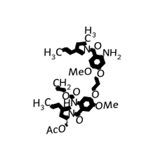 C=CCOC(=O)Nc1cc(OCCCOc2cc(N)c(C(=O)N3C=C(C=CC)C[C@@H]3C)cc2OC)c(OC)cc1C(=O)N1C=C(C=CC)C[C@H]1COC(C)=O